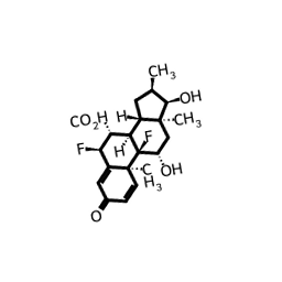 C[C@@H]1C[C@H]2[C@@H]3[C@@H](C(=O)O)[C@H](F)C4=CC(=O)C=C[C@]4(C)[C@@]3(F)[C@@H](O)C[C@]2(C)[C@@H]1O